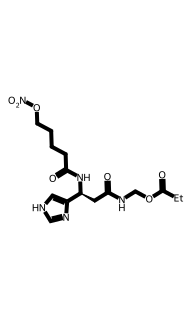 CCC(=O)OCNC(=O)C[C@H](NC(=O)CCCCO[N+](=O)[O-])c1c[nH]cn1